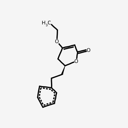 CCOC1=CC(=O)O[C@@H](CCc2ccccc2)C1